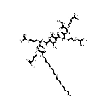 CNC(=O)[C@H](CCCNC(=N)N)NC(=O)[C@H](CCCNC(=N)N)NC(=O)c1nc(N)c(C(=O)N[C@@H](CCCNC(=N)N)C(=O)N[C@@H](CCCNC(=N)N)C(=O)NCCCOCCOCCOCCCN)nc1N